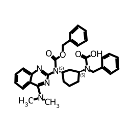 CN(C)c1nc(N(C(=O)OCc2ccccc2)[C@H]2CCC[C@H](N(Cc3ccccc3)C(=O)O)C2)nc2ccccc12